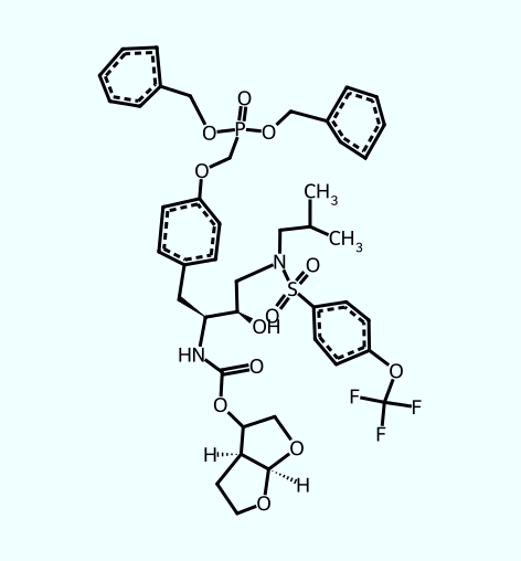 CC(C)CN(C[C@@H](O)[C@H](Cc1ccc(OCP(=O)(OCc2ccccc2)OCc2ccccc2)cc1)NC(=O)OC1CO[C@H]2OCC[C@@H]12)S(=O)(=O)c1ccc(OC(F)(F)F)cc1